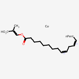 CCCCC/C=C\C/C=C\CCCCCCCC(=O)OC=C(C)C(=O)O.[Cu]